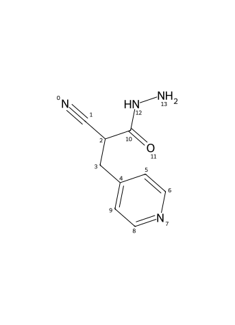 N#CC(Cc1ccncc1)C(=O)NN